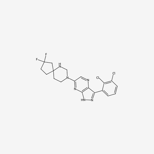 FC1(F)CCC2(CCN(c3cnc4c(-c5cccc(Cl)c5Cl)n[nH]c4n3)CN2)C1